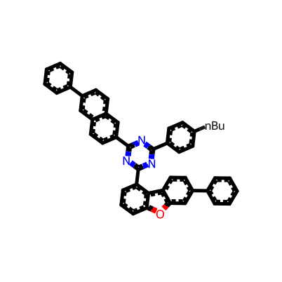 CCCCc1ccc(-c2nc(-c3ccc4cc(-c5ccccc5)ccc4c3)nc(-c3cccc4oc5cc(-c6ccccc6)ccc5c34)n2)cc1